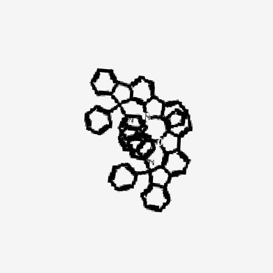 N#Cc1ccc(C#N)c(-n2c3ccccc3c3ccc4c(c32)C(c2ccccc2)(c2ccccc2)c2ccccc2-4)c1-n1c2ccccc2c2ccc3c(c21)C(c1ccccc1)(c1ccccc1)c1ccccc1-3